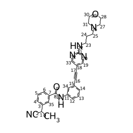 CC(C#N)c1cccc(C(=O)Nc2cccc(C#Cc3cnc(NCCCN4CCOCC4)nc3)c2)c1